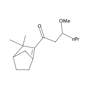 CCCC(CC(=O)C1=C2CCC(C2)C1(C)C)OC